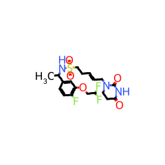 CC(NS(=O)(=O)CC/C=C/CN1CCC(=O)NC1=O)c1ccc(F)c(OCC(F)F)c1